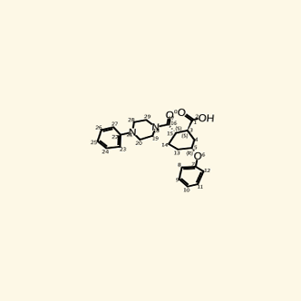 O=C(O)[C@H]1C[C@H](Oc2ccccc2)CC[C@@H]1C(=O)N1CCN(c2ccccc2)CC1